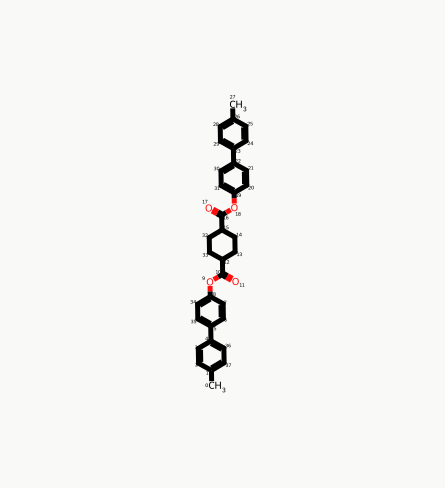 Cc1ccc(-c2ccc(OC(=O)C3CCC(C(=O)Oc4ccc(-c5ccc(C)cc5)cc4)CC3)cc2)cc1